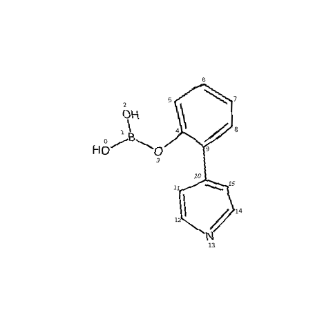 OB(O)Oc1ccccc1-c1ccncc1